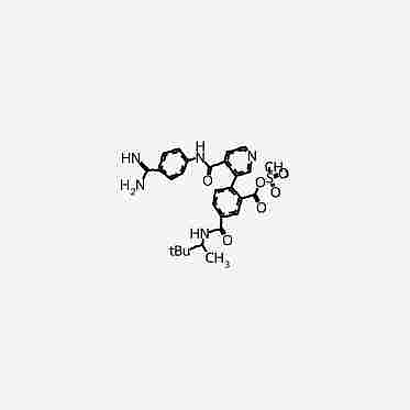 CC(NC(=O)c1ccc(-c2cnccc2C(=O)Nc2ccc(C(=N)N)cc2)c(C(=O)OS(C)(=O)=O)c1)C(C)(C)C